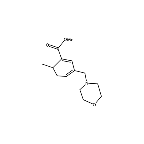 COC(=O)C1=CC(CN2CCOCC2)=CCC1C